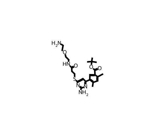 Cc1cc(C)c(-c2cc(SCCC(=O)NCCOCCN)nc(N)n2)cc1C(=O)OC(C)(C)C